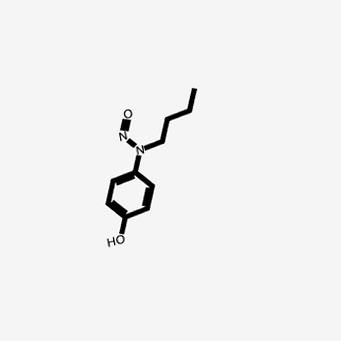 CCCCN(N=O)c1ccc(O)cc1